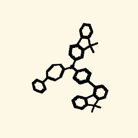 CC1(C)c2ccccc2-c2ccc(N(C3=CC=C(c4ccccc4)C=CC3)c3ccc(-c4cccc5c4-c4ccccc4C5(C)C)cc3)cc21